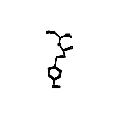 CCCCCC(C)OC(=O)C=Cc1ccc(OC)cc1